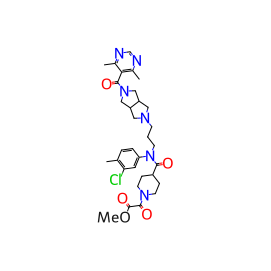 COC(=O)C(=O)N1CCC(C(=O)N(CCCN2CC3CN(C(=O)c4c(C)ncnc4C)CC3C2)c2ccc(C)c(Cl)c2)CC1